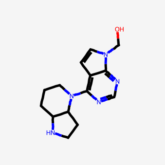 OCn1ccc2c(N3CCCC4NCCC43)ncnc21